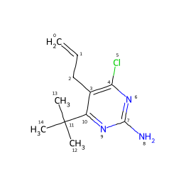 C=CCc1c(Cl)nc(N)nc1C(C)(C)C